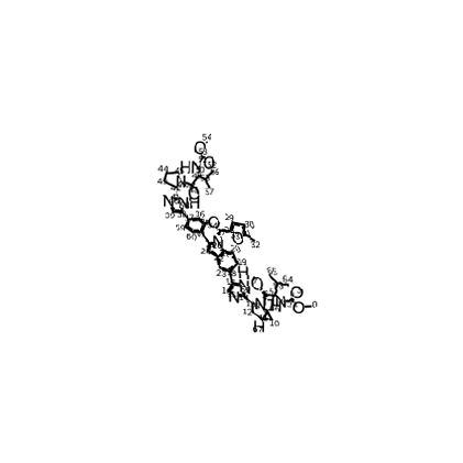 COC(=O)NC(C(=O)N1[C@@H]2C[C@@H]2C[C@H]1c1ncc(-c2ccc3c(c2)cc2n3C(c3ccc(C)o3)Oc3cc(-c4cnc([C@@H]5CCCN5C(=O)[C@@H](NC(=O)OC)C(C)C)[nH]4)ccc3-2)[nH]1)C(C)C